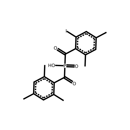 Cc1cc(C)c(C(=O)P(=O)(O)C(=O)c2c(C)cc(C)cc2I)c(C)c1